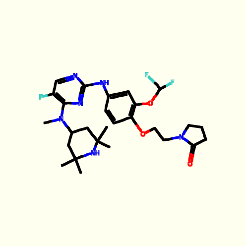 CN(c1nc(Nc2ccc(OCCN3CCCC3=O)c(OC(F)F)c2)ncc1F)C1CC(C)(C)NC(C)(C)C1